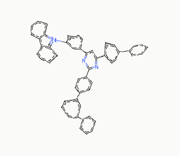 c1ccc(-c2ccc(-c3cc(-c4cccc(-n5c6ccccc6c6ccccc65)c4)nc(-c4ccc(-c5cccc(-c6ccccc6)c5)cc4)n3)cc2)cc1